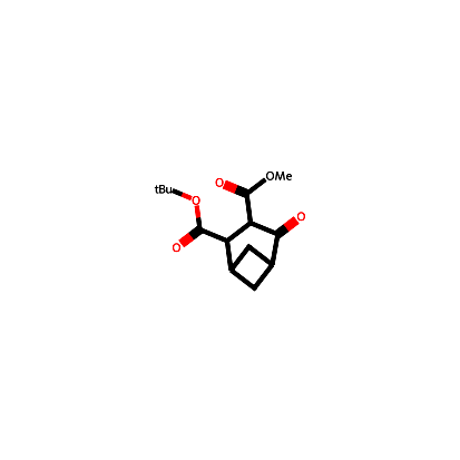 COC(=O)C1C(=O)C2CC(C2)C1C(=O)OC(C)(C)C